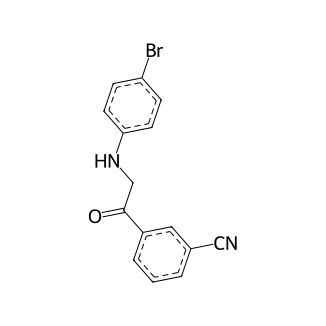 N#Cc1cccc(C(=O)CNc2ccc(Br)cc2)c1